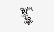 CC(C)(CN1C(=O)C2CCCN2C(=O)c2ccccc21)C(=O)N[C@H](Cc1ccc2ccccc2c1)C(=O)NCC(O)CN